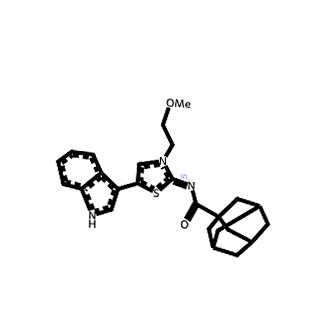 COCCn1cc(-c2c[nH]c3ccccc23)s/c1=N\C(=O)C12CC3CC(CC(C3)C1)C2